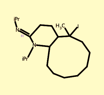 CC(C)/N=C1\CCC2C(CCCCCCCC2(C)I)N1C(C)C